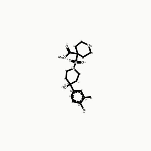 COC(=O)C1(S(=O)(=O)N2CCC(O)(c3ccc(Br)c(C)c3)CC2)CCOCC1